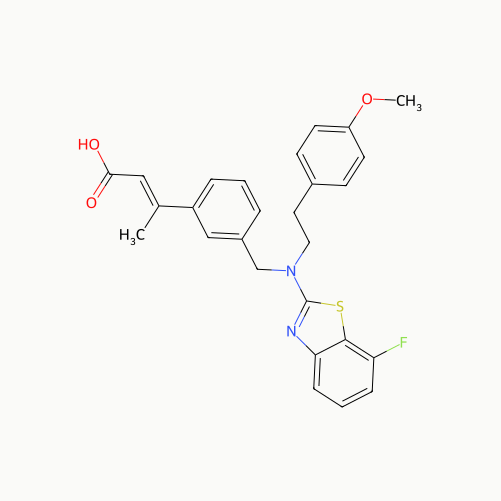 COc1ccc(CCN(Cc2cccc(/C(C)=C/C(=O)O)c2)c2nc3cccc(F)c3s2)cc1